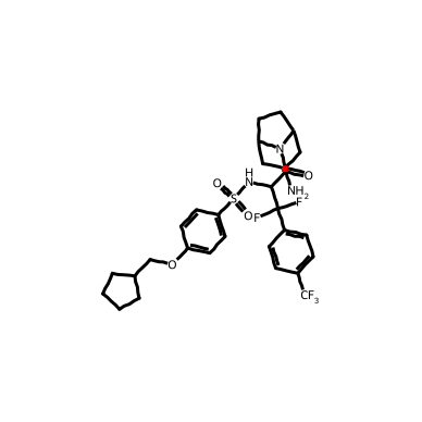 NC1CC2CCC(C1)N2C(=O)C(NS(=O)(=O)c1ccc(OCC2CCCC2)cc1)C(F)(F)c1ccc(C(F)(F)F)cc1